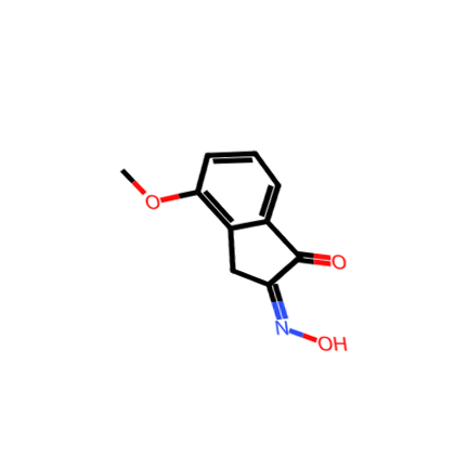 COc1cccc2c1C/C(=N/O)C2=O